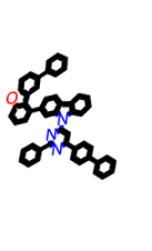 c1ccc(-c2ccc(-c3cc(-n4c5ccccc5c5ccc(-c6cccc7oc8ccc(-c9ccccc9)cc8c67)cc54)nc(-c4ccccc4)n3)cc2)cc1